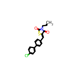 C=CCN1C(=O)S/C(=C\c2ccc(-c3ccc(Cl)cc3)cc2)C1=O